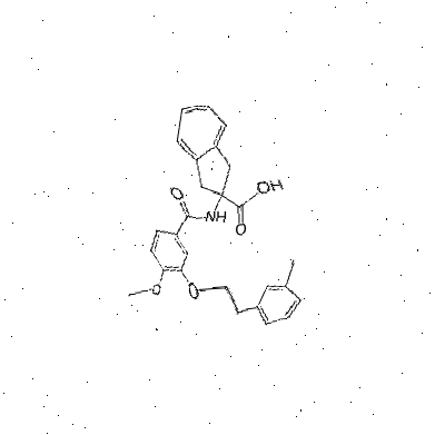 COc1ccc(C(=O)NC2(C(=O)O)Cc3ccccc3C2)cc1OCCc1cccc(C)c1